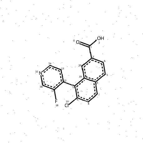 O=C(O)c1ccc2ccc(Cl)c(-c3ccncc3F)c2c1